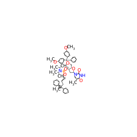 COc1ccc(C(OC[C@H]2O[C@@H](n3cc(C)c(=O)[nH]c3=O)C[C@@H]2OP(OCC=CC[Si](C)(c2ccccc2)c2ccccc2)N(C(C)C)C(C)C)(c2ccccc2)c2ccc(OC)cc2)cc1